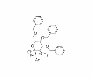 CC(=O)C(F)(F)C1(Cl)O[C@H](COCc2ccccc2)[C@@H](OCc2ccccc2)[C@H](OCc2ccccc2)[C@H]1C